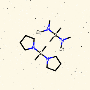 CCN(C)[Si](C)(C)N(C)CC.C[Si](C)(N1CCCC1)N1CCCC1